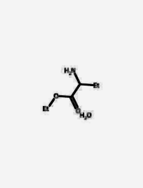 CCOC(=O)C(N)CC.O